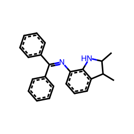 CC1Nc2c(N=C(c3ccccc3)c3ccccc3)cccc2C1C